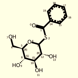 O=C(SC1O[C@H](CO)[C@@H](O)[C@H](O)[C@H]1O)c1ccccc1